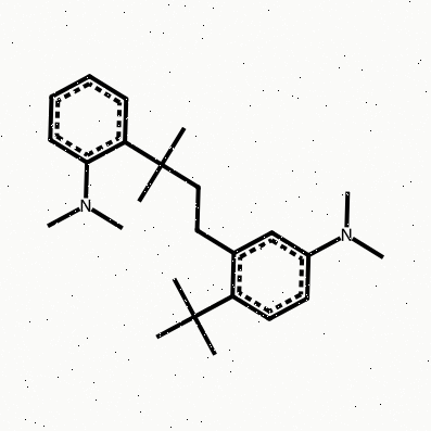 CN(C)c1ccc(C(C)(C)C)c(CCC(C)(C)c2ccccc2N(C)C)c1